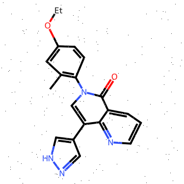 CCOc1ccc(-n2cc(-c3cn[nH]c3)c3ncccc3c2=O)c(C)c1